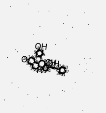 C[C@]12C[C@H](c3ccc(O)cc3)C3=C4CCC(=O)C=C4CC[C@H]3[C@@H]1CC[C@@]2(O)C#Cc1ccccc1